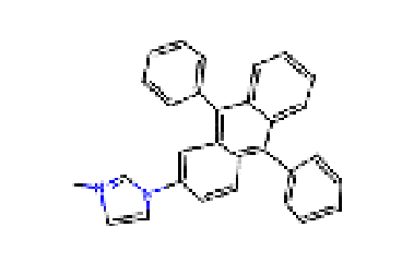 C[n+]1ccn(-c2ccc3c(-c4ccccc4)c4ccccc4c(-c4ccccc4)c3c2)c1